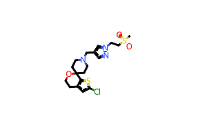 CS(=O)(=O)CCn1cc(CN2CCC3(CC2)OCCc2cc(Cl)sc23)cn1